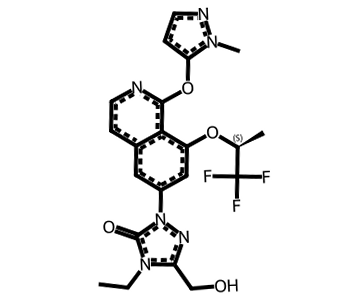 CCn1c(CO)nn(-c2cc(O[C@@H](C)C(F)(F)F)c3c(Oc4ccnn4C)nccc3c2)c1=O